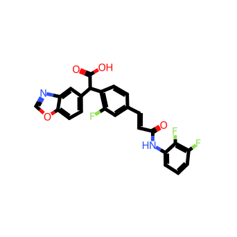 O=C(C=Cc1ccc(C(C(=O)O)c2ccc3ocnc3c2)c(F)c1)Nc1cccc(F)c1F